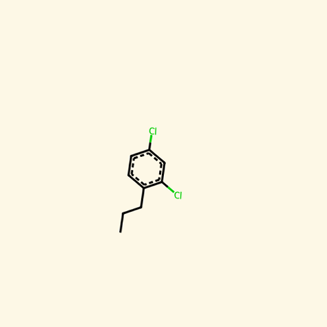 CCCc1ccc(Cl)cc1Cl